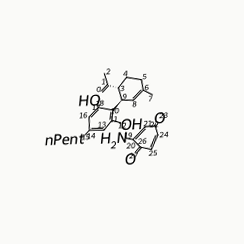 C=C(C)[C@@H]1CCC(C)=C[C@H]1c1c(O)cc(CCCCC)cc1O.NC1=CC(=O)C=CC1=O